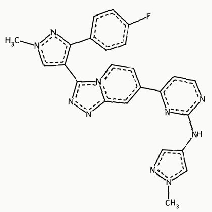 Cn1cc(Nc2nccc(-c3ccn4c(-c5cn(C)nc5-c5ccc(F)cc5)nnc4c3)n2)cn1